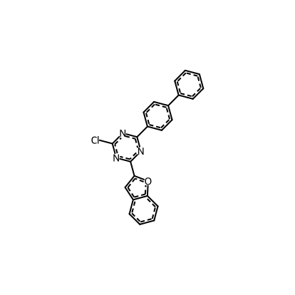 Clc1nc(-c2ccc(-c3ccccc3)cc2)nc(-c2cc3ccccc3o2)n1